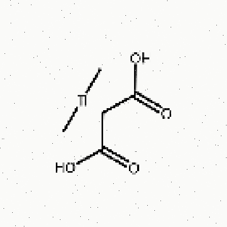 O=C(O)CC(=O)O.[CH3][Tl][CH3]